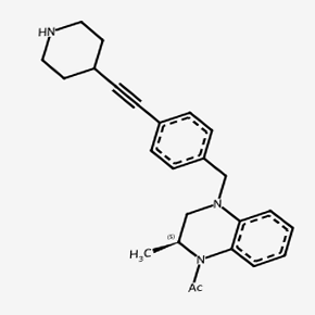 CC(=O)N1c2ccccc2N(Cc2ccc(C#CC3CCNCC3)cc2)C[C@@H]1C